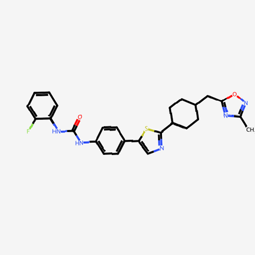 Cc1noc(CC2CCC(c3ncc(-c4ccc(NC(=O)Nc5ccccc5F)cc4)s3)CC2)n1